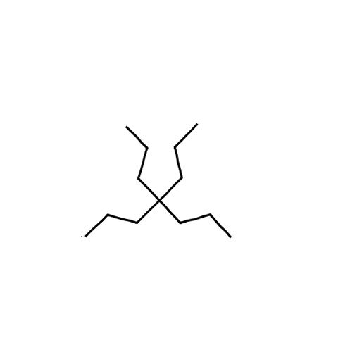 [CH2]CCC(CCC)(CCC)CCC